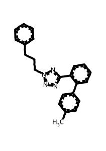 Cc1ccc(-c2ccccc2-c2nnn(CCCc3ccccc3)n2)cc1